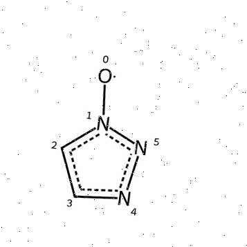 [O]n1ccnn1